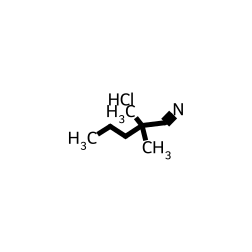 CCCC(C)(C)C#N.Cl